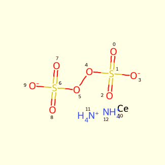 O=S(=O)([O-])OOS(=O)(=O)[O-].[Ce].[NH4+].[NH4+]